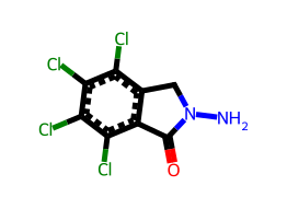 NN1Cc2c(Cl)c(Cl)c(Cl)c(Cl)c2C1=O